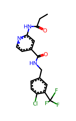 CCC(=O)Nc1cc(C(=O)NCc2ccc(Cl)c(C(F)(F)F)c2)ccn1